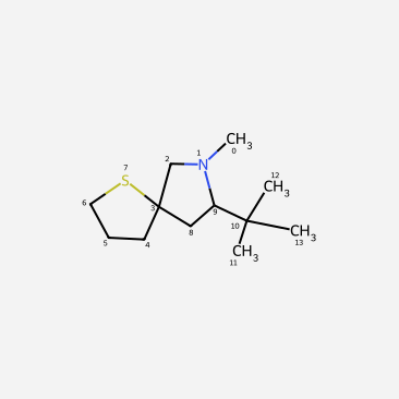 CN1CC2(CCCS2)CC1C(C)(C)C